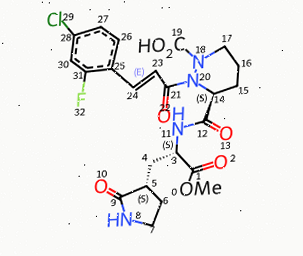 COC(=O)[C@H](C[C@@H]1CCNC1=O)NC(=O)[C@@H]1CCCN(C(=O)O)N1C(=O)/C=C/c1ccc(Cl)cc1F